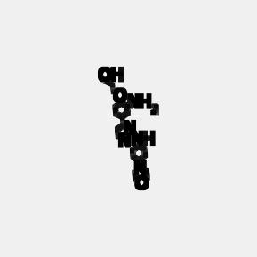 Nc1cc(-c2ccnc(Nc3ccc(N4CCOCC4)cc3)n2)ccc1OCCCO